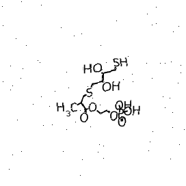 CC(CSCC(O)C(O)CS)C(=O)OCCOP(=O)(O)O